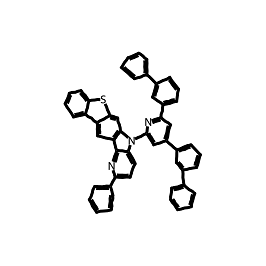 c1ccc(-c2cccc(-c3cc(-c4cccc(-c5ccccc5)c4)nc(-n4c5cc6sc7ccccc7c6cc5c5nc(-c6ccccc6)ccc54)c3)c2)cc1